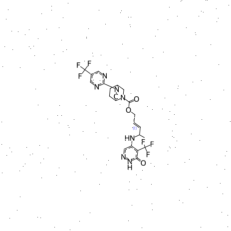 CC(/C=C/COC(=O)N1CC2CCC1CN2c1ncc(C(F)(F)F)cn1)Nc1cn[nH]c(=O)c1C(F)(F)F